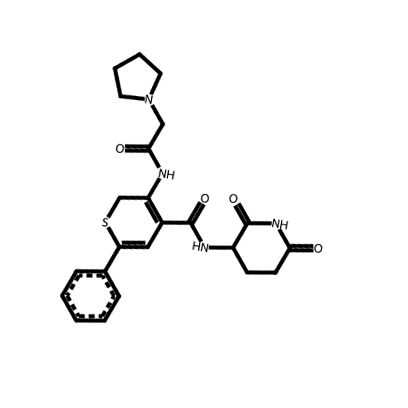 O=C1CCC(NC(=O)C2=C(NC(=O)CN3CCCC3)CSC(c3ccccc3)=C2)C(=O)N1